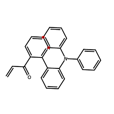 C=CC(=O)c1cccnc1-c1ccccc1N(c1ccccc1)c1ccccc1